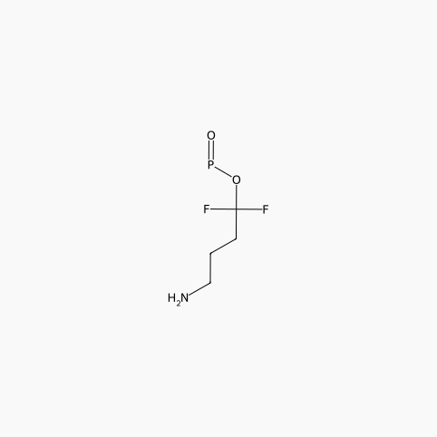 NCCCC(F)(F)OP=O